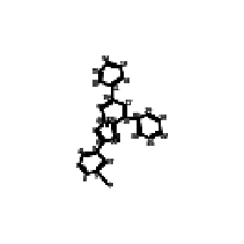 Cc1cccc(-c2cn3cc(-c4ccccc4)cc(-c4ccccc4)c3n2)c1